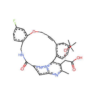 Cc1nc2cc3nn2c(c1[C@H](OC(C)(C)C)C(=O)O)-c1ccccc1/C=C\COc1cc(F)ccc1CNC3=O